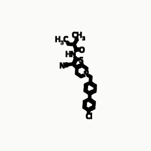 CCC(CC)C(=O)Nc1sc2c(c1C#N)CCN(Cc1ccc(-c3ccc(Cl)cc3)cc1)C2